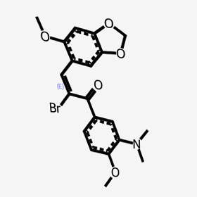 COc1cc2c(cc1/C=C(/Br)C(=O)c1ccc(OC)c(N(C)C)c1)OCO2